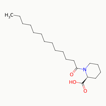 CCCCCCCCCCCCC(=O)N1CCCC[C@H]1C(=O)O